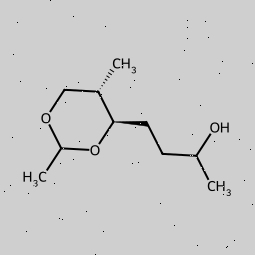 CC(O)CC[C@H]1OC(C)OC[C@@H]1C